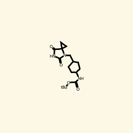 CC(C)(C)OC(=O)NC1CCC(CN2C(=O)NC(=O)C23CC3)CC1